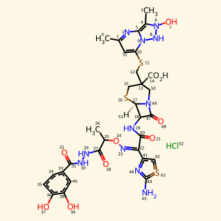 CC1=NC2=C(C)N(O)NN2C(SCC2(C(=O)O)CS[C@@H]3C(NC(=O)C(=NOC(C)C(=O)NNC(=O)c4ccc(O)c(O)c4)c4csc(N)n4)C(=O)N3C2)=C1.Cl